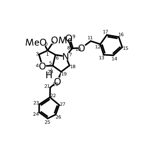 COC1(OC)CO[C@H]2C1N(C(=O)OCc1ccccc1)C[C@H]2OCc1ccccc1